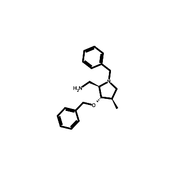 C[C@@H]1CN(Cc2ccccc2)[C@H](CN)[C@H]1OCc1ccccc1